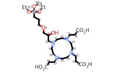 CCO[Si](CCCOCC(O)CN1CCN(CCC(=O)O)CCN(CCC(=O)O)CCN(CCC(=O)O)CC1)(OCC)OCC